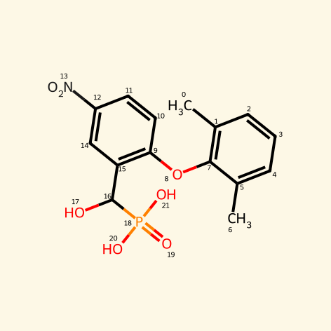 Cc1cccc(C)c1Oc1ccc([N+](=O)[O-])cc1C(O)P(=O)(O)O